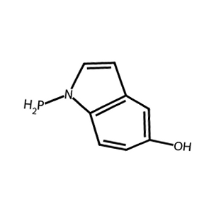 Oc1ccc2c(ccn2P)c1